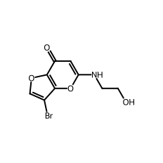 O=c1cc(NCCO)oc2c(Br)coc12